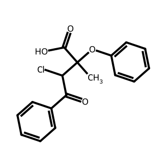 CC(Oc1ccccc1)(C(=O)O)C(Cl)C(=O)c1ccccc1